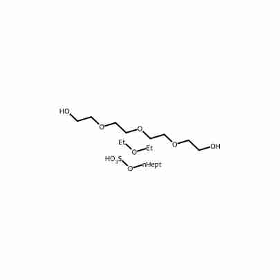 CCCCCCCOS(=O)(=O)O.CCOCC.OCCOCCOCCOCCO